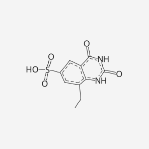 CCc1cc(S(=O)(=O)O)cc2c(=O)[nH]c(=O)[nH]c12